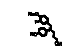 COc1ccc(CN(CCCO)c2ccc(C#N)cc2)cc1F